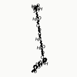 C=CC(=O)N1CCC[C@H](Oc2nc(Nc3cccc(OCCOCCNC(=O)CCCCNCCCOCCOCCOCCCNC(=O)CCCC[C@@H]4SC[C@@H]5NC(=O)N[C@@H]54)c3)ncc2F)C1